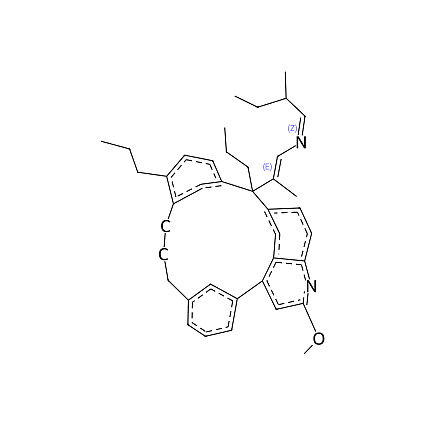 CCCc1ccc2cc1CCCc1cccc(c1)-c1cc(OC)nc3ccc(cc13)C2(CCC)/C(C)=C/N=C\C(C)CC